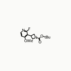 COc1ccnc(F)c1C1CN(C(=O)OC(C)(C)C)C1